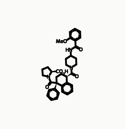 COc1ccccc1C(=O)NC1CCN(C(=O)[C@H]2CC[C@@](C(=O)N3CCC[C@H]3C(=O)O)(c3ccccc3)c3ccccc32)CC1